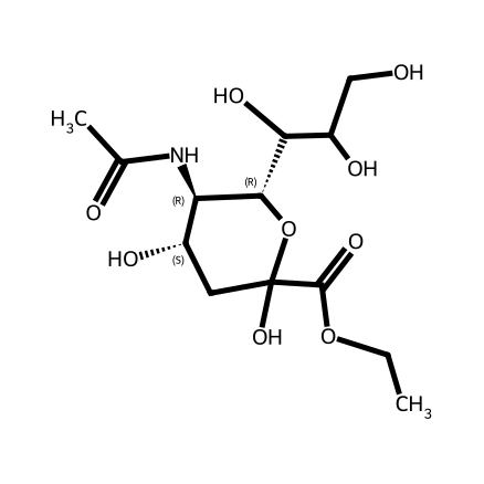 CCOC(=O)C1(O)C[C@H](O)[C@@H](NC(C)=O)[C@H](C(O)C(O)CO)O1